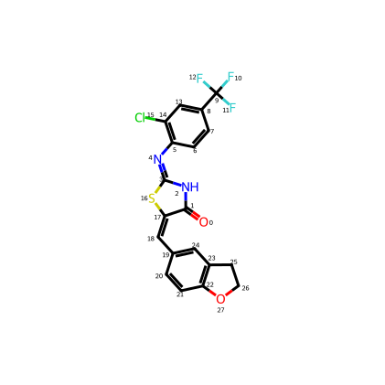 O=C1NC(=Nc2ccc(C(F)(F)F)cc2Cl)SC1=Cc1ccc2c(c1)CCO2